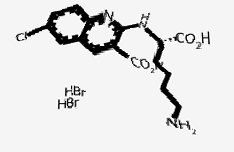 Br.Br.NCCCC[C@H](Nc1nc2ccc(Cl)cc2cc1C(=O)O)C(=O)O